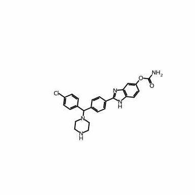 NC(=O)Oc1ccc2[nH]c(-c3ccc(C(c4ccc(Cl)cc4)N4CCNCC4)cc3)nc2c1